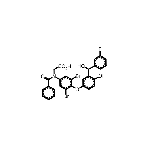 O=C(O)CN(C(=O)c1ccccc1)c1cc(Br)c(Oc2ccc(O)c(C(O)c3cccc(F)c3)c2)c(Br)c1